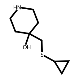 OC1(CSC2CC2)CCNCC1